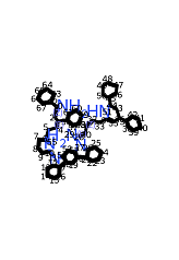 N/C(=C\C(=C/Cc1cccc(-n2c3ccccc3c3cc4c5ccccc5n(/C(N)=C/C=C\CC5=CC(c6ccccc6)CC(C6=CC=CCC6)N5)c4cc32)n1)c1ccccc1)c1ccccc1